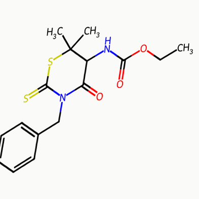 CCOC(=O)NC1C(=O)N(Cc2ccccc2)C(=S)SC1(C)C